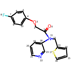 O=C(COc1ccc(F)cc1)N(Cc1cccs1)c1cccnc1